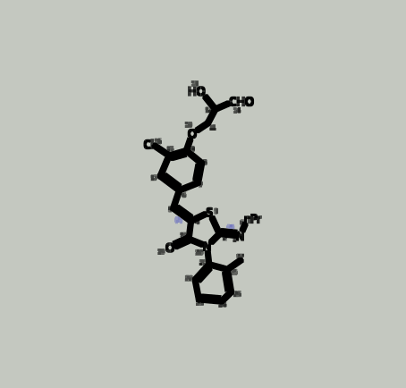 CCC/N=C1\S/C(=C\c2ccc(OCC(O)C=O)c(Cl)c2)C(=O)N1c1ccccc1C